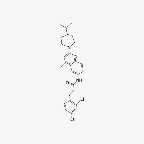 CCc1ccc(CCC(=O)Nc2ccc3nc(N4CCC(N(C)C)CC4)cc(C)c3c2)c(Cl)c1